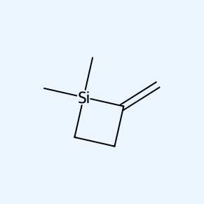 C=C1CC[Si]1(C)C